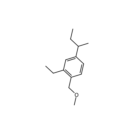 CCc1cc(C(C)CC)ccc1COC